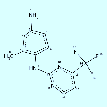 Cc1cc(N)ccc1Nc1nccc(C(F)(F)F)n1